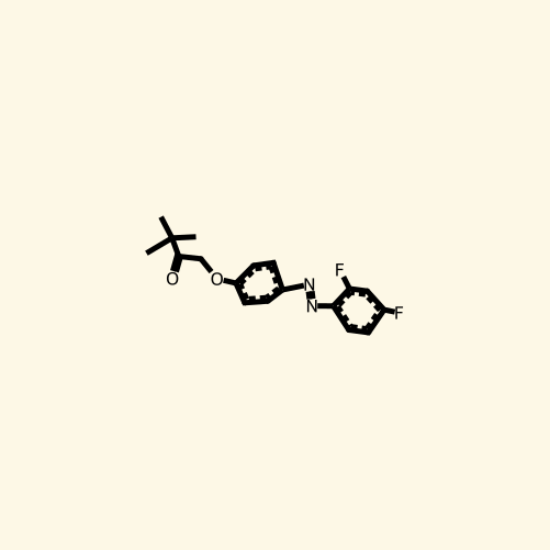 CC(C)(C)C(=O)COc1ccc(N=Nc2ccc(F)cc2F)cc1